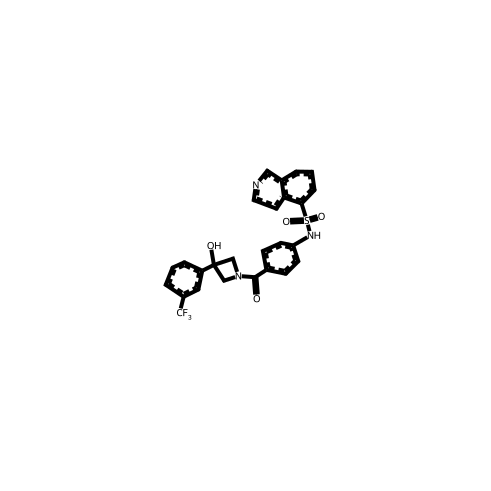 O=C(c1ccc(NS(=O)(=O)c2cccc3cnccc23)cc1)N1CC(O)(c2cccc(C(F)(F)F)c2)C1